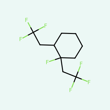 FC(F)(F)C[C]1CCCCC1(F)CC(F)(F)F